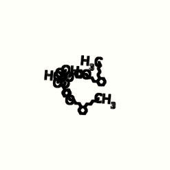 CCCCCC1CCCCC1CCCOc1ccc(CO[C@@H](C(=O)O)[C@@H](OCc2ccc(OCCCC3CCCCC3CCCCC)cc2)C(=O)O)cc1